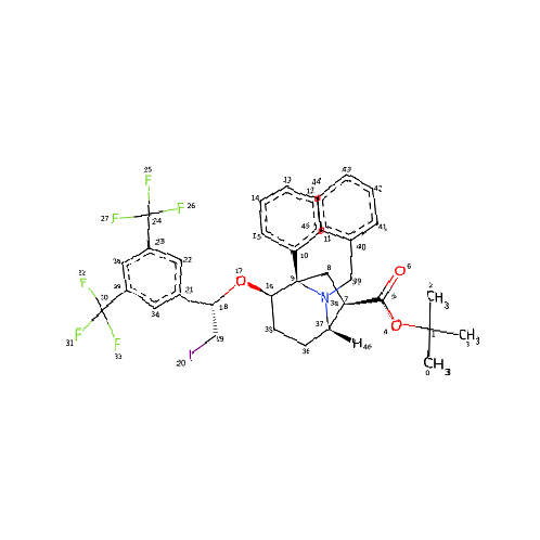 CC(C)(C)OC(=O)[C@@H]1C[C@@]2(c3ccccc3)[C@H](O[C@H](CI)c3cc(C(F)(F)F)cc(C(F)(F)F)c3)CC[C@@H]1N2Cc1ccccc1